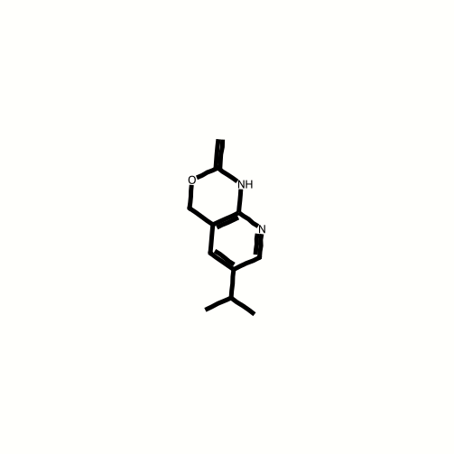 C=C1Nc2ncc(C(C)C)cc2CO1